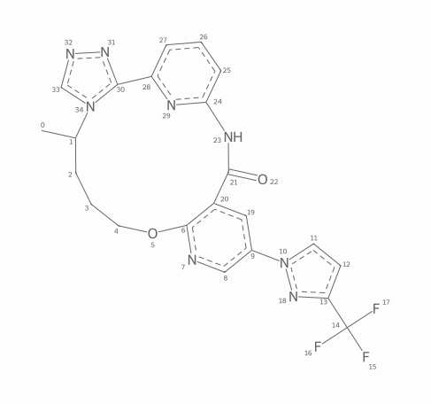 CC1CCCOc2ncc(-n3ccc(C(F)(F)F)n3)cc2C(=O)Nc2cccc(n2)-c2nncn21